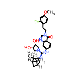 COc1ccc(CCn2cnc3cc(N/C(=N/[C@H]4C[C@@H]5C[C@H]([C@@H]4C)C5(C)C)N4C[C@@H](O)[C@H](O)C4)ccc3c2=O)c(F)c1